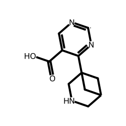 O=C(O)c1cn[c]nc1C12CNCC(C1)C2